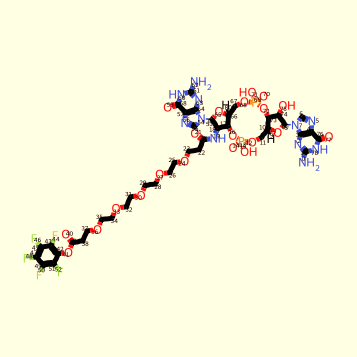 Nc1nc2c(ncn2[C@@H]2O[C@@H]3COP(=O)(O)OC4C(NC(=O)CCOCCOCCOCCOCCOCCC(=O)Oc5c(F)c(F)c(F)c(F)c5F)[C@H](n5cnc6c(=O)[nH]c(N)nc65)O[C@@H]4COP(=O)(O)OC3C2O)c(=O)[nH]1